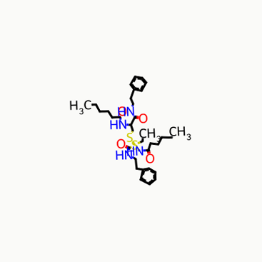 CCCCCC(=O)NC(CSS(CC)(NC(=O)CCCCC)C(=O)NCCc1ccccc1)C(=O)NCCc1ccccc1